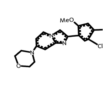 COc1cc(C)c(Cl)cc1-c1cn2ccc(N3CCOCC3)cc2n1